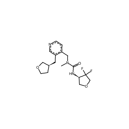 CN(Cc1ccncc1C[C@H]1CCOC1)C(=O)N[C@@H]1COCC1(F)F